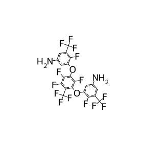 Nc1cc(Oc2c(F)c(F)c(C(F)(F)F)c(Oc3cc(N)cc(C(F)(F)F)c3F)c2F)c(F)c(C(F)(F)F)c1